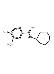 N=C(NC1CCCCCC1)c1ccc(O)c(N)c1